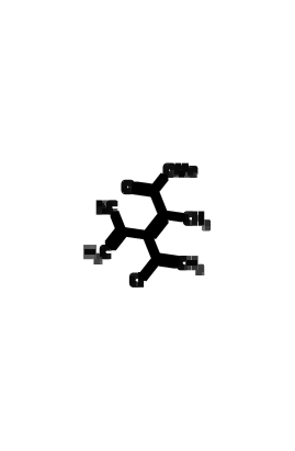 C=C(Cl)C(C(=C)C#N)=C(C)C(=O)OC